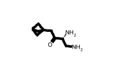 NC[C@@H](N)C(=O)CC12CC(C1)C2